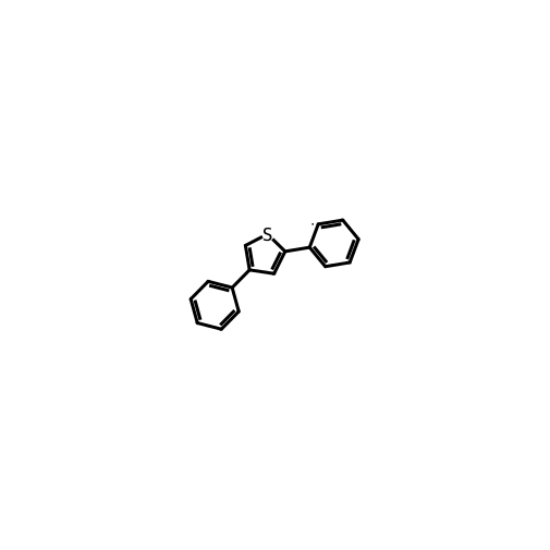 [c]1ccccc1-c1cc(-c2ccccc2)cs1